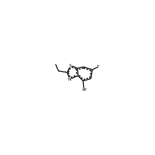 CCc1nc2c(Br)cc(F)cc2s1